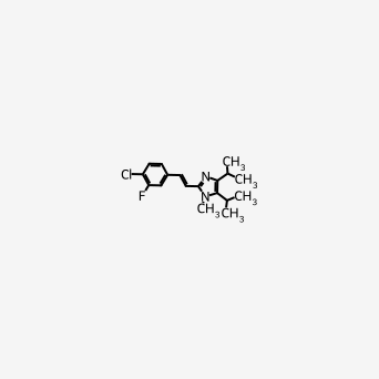 CC(C)c1nc(C=Cc2ccc(Cl)c(F)c2)n(C)c1C(C)C